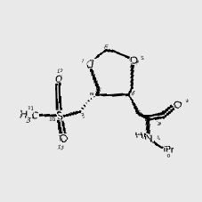 CC(C)NC(=O)[C@@H]1OCO[C@H]1CS(C)(=O)=O